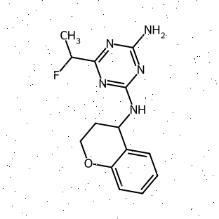 CC(F)c1nc(N)nc(NC2CCOc3ccccc32)n1